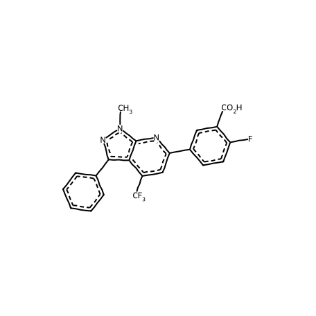 Cn1nc(-c2ccccc2)c2c(C(F)(F)F)cc(-c3ccc(F)c(C(=O)O)c3)nc21